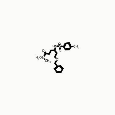 Cc1ccc(S(=O)(=O)NC(CCOCc2ccccc2)CCC(=O)N(C)C)cc1